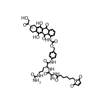 CC(C)[C@H](NC(=O)CCCCCN1C(=O)C=CC1=O)C(=O)N[C@@H](CCCNC(N)=O)C(=O)Nc1ccc(COC(=O)Nc2cccc3c2C(=O)c2c(O)c4c(c(O)c2C3=O)C[C@@H](C(=O)CO)CC4)cc1